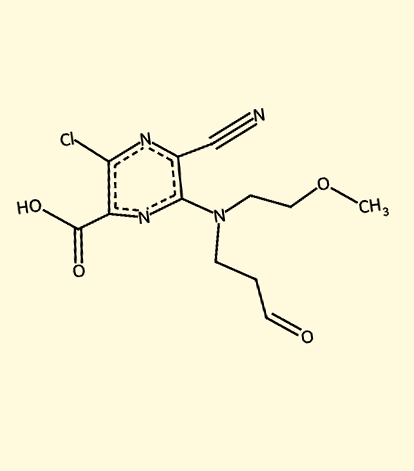 COCCN(CCC=O)c1nc(C(=O)O)c(Cl)nc1C#N